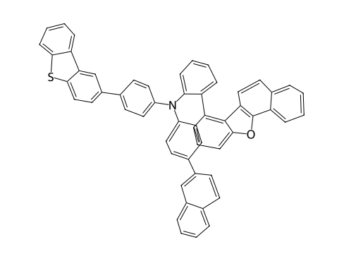 c1ccc(N(c2ccc(-c3ccc4ccccc4c3)cc2)c2ccc(-c3ccc4sc5ccccc5c4c3)cc2)c(-c2cccc3oc4c5ccccc5ccc4c23)c1